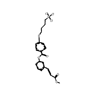 COC(=O)C=Cc1cccc(OC(=O)c2ccc(OCCCC[Si](Cl)(Cl)Cl)cc2)c1